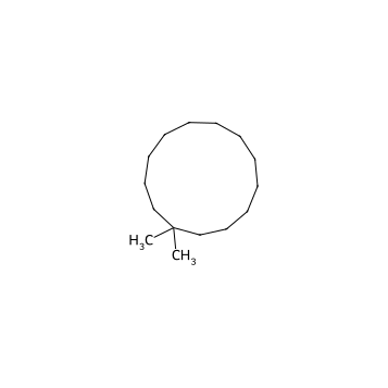 CC1(C)CCCCCCCCCCCC1